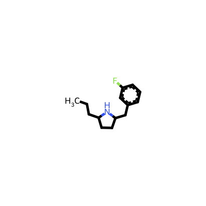 CCCC1CCC(Cc2cccc(F)c2)N1